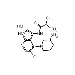 CC(C)C(=O)Nc1c[nH]c2ncc(Cl)c(N3CCCC(N)C3)c12.Cl